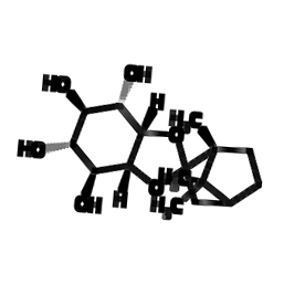 CC1(C)C2CC[C@@]1(C)C1(C2)O[C@@H]2[C@@H](O)[C@H](O)[C@@H](O)[C@H](O)[C@@H]2O1